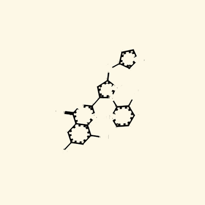 Cc1cc(Cl)cc2c(=O)oc(-c3cc(Oc4ccsc4)nn3-c3ncccc3Cl)nc12